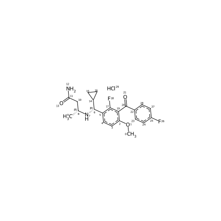 COc1ccc([C@H](N[C@H](C)CC(N)=O)C2CC2)c(F)c1C(=O)c1ccc(F)cc1.Cl